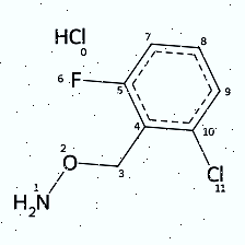 Cl.NOCc1c(F)cccc1Cl